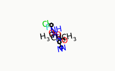 CC(=O)c1cn(CC(=O)N(CC(=O)NCc2cccc(Cl)c2F)C(C)C)c2ccc(-c3cncnc3)cc12